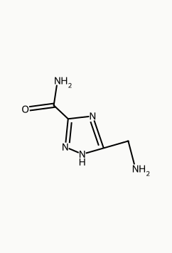 NCc1nc(C(N)=O)n[nH]1